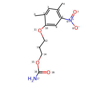 Cc1cc(C)c([N+](=O)[O-])cc1OCCCOC(N)=O